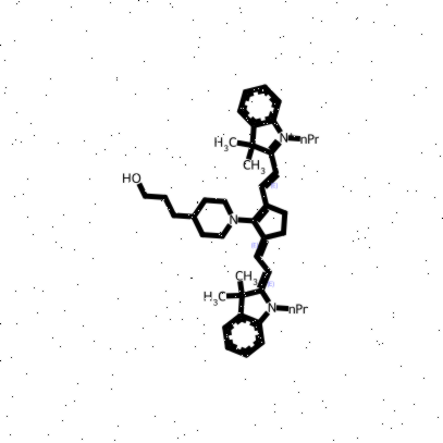 CCCN1/C(=C/C=C2\CCC(/C=C/C3=[N+](CCC)c4ccccc4C3(C)C)=C2N2CCC(CCCO)CC2)C(C)(C)c2ccccc21